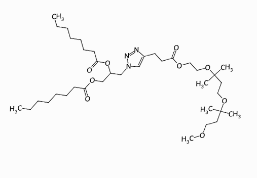 CCCCCCCC(=O)OCC(Cn1cc(CCC(=O)OCCOC(C)(C)CCOC(C)(C)CCOC)nn1)OC(=O)CCCCCCC